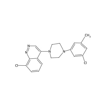 Cc1cc(Cl)cc(N2CCN(c3cnnc4c(Cl)cccc34)CC2)c1